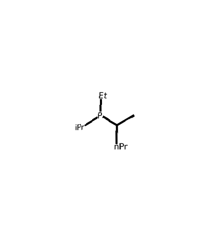 CCCC(C)P(CC)C(C)C